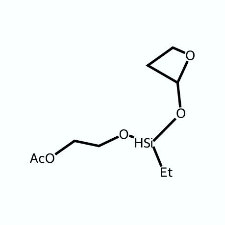 CC[SiH](OCCOC(C)=O)OC1CCO1